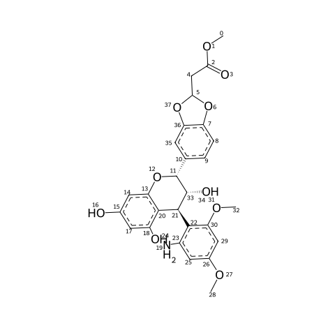 COC(=O)CC1Oc2ccc([C@H]3Oc4cc(O)cc(O)c4[C@H](c4c(N)cc(OC)cc4OC)[C@H]3O)cc2O1